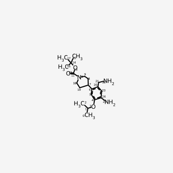 CC(C)Oc1cc(C2CCN(C(=O)OC(C)(C)C)CC2)c(CN)cc1N